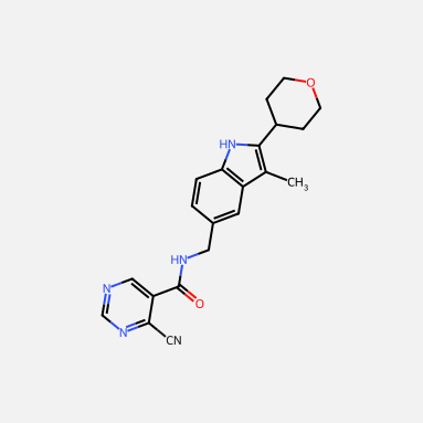 Cc1c(C2CCOCC2)[nH]c2ccc(CNC(=O)c3cncnc3C#N)cc12